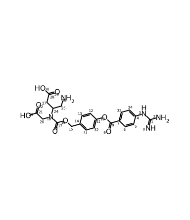 N=C(N)Nc1ccc(C(=O)Oc2ccc(COC(=O)N(CC(=O)O)C(CN)CC(=O)O)cc2)cc1